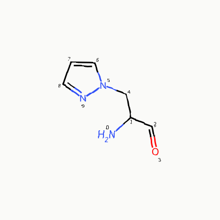 NC([C]=O)Cn1cccn1